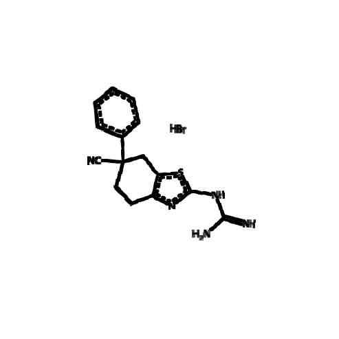 Br.N#CC1(c2ccccc2)CCc2nc(NC(=N)N)sc2C1